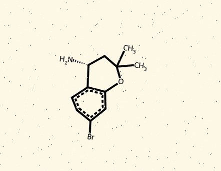 CC1(C)C[C@@H](N)c2ccc(Br)cc2O1